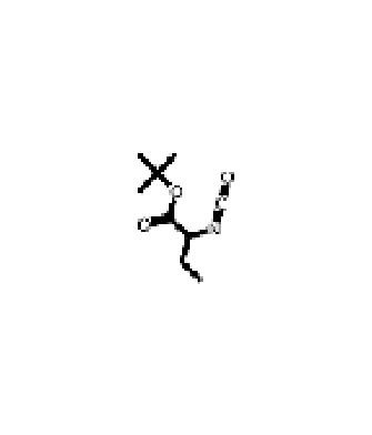 CCC(N=C=O)C(=O)OC(C)(C)C